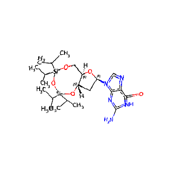 CC(C)[Si]1(C(C)C)OC[C@H]2O[C@@H](n3cnc4c(=O)[nH]c(N)nc43)C[C@@H]2O[Si](C(C)C)(C(C)C)O1